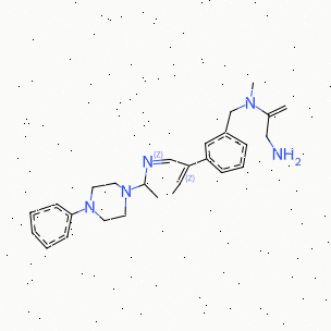 C=C(CN)N(C)Cc1cccc(C(/C=N\C(C)N2CCN(c3ccccc3)CC2)=C/C)c1